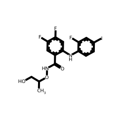 CC(CO)ONC(=O)c1cc(F)c(F)cc1Nc1ccc(I)cc1F